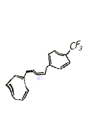 FC(F)(F)c1ccc(/C=C/c2ccccc2)cc1